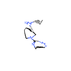 CC(C)(C)N[C@H]1CCN(c2nccnn2)C1